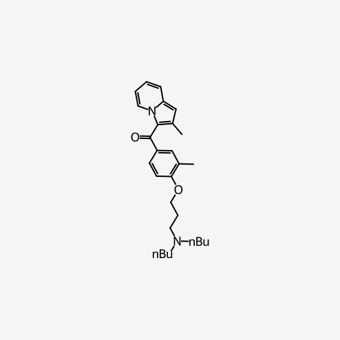 CCCCN(CCCC)CCCOc1ccc(C(=O)c2c(C)cc3ccccn23)cc1C